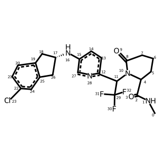 CNC(=O)C1CCCC(=O)N1C(c1ccc(N[C@H]2Cc3ccc(Cl)cc3C2)cn1)C(F)(F)F